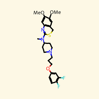 COc1cc2c(cc1OC)N=C(N(C)C1CCN(CCCOc3ccc(F)c(F)c3)CC1)SC2